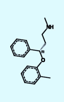 CNCC[C@H](Oc1ccccc1C)c1ccccc1